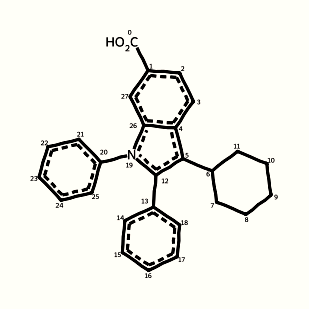 O=C(O)c1ccc2c(C3CCCCC3)c(-c3ccccc3)n(-c3ccccc3)c2c1